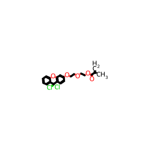 C=C(C)C(=O)OCCOCCOc1ccc2c(c1)Oc1ccccc1C2(Cl)Cl